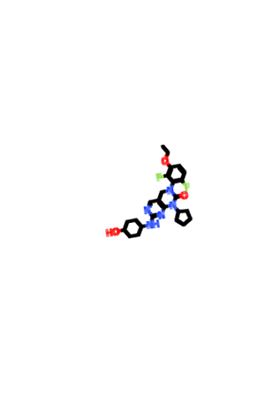 CCOc1ccc(F)c(N2Cc3cnc(NC4CCC(O)CC4)nc3N(C3CCCC3)C2=O)c1F